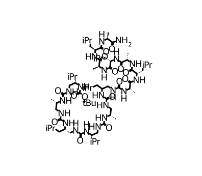 CC(C)CC(CNC(=O)N[C@@H](C)C(=O)N[C@@H](CC(C)C)C(=O)N[C@@H](C)C(=O)N[C@@H](CC(C)C)C(=O)N[C@@H](C)C(=O)N[C@@H](CC(C)C)C(=O)N[C@@H](C)C(N)=O)NC(=O)NC[C@H](C)NC(=O)NC[C@@H](NC(=O)NC[C@H](CC(C)C)NC(=O)NC[C@H](C)NC(=O)NC[C@@H](NC(=O)OC(C)(C)C)C(C)C)C(C)C